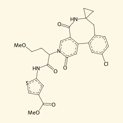 COCCC(C(=O)Nc1cc(C(=O)OC)cs1)n1cc2c(cc1=O)-c1cc(Cl)ccc1CC1(CC1)NC2=O